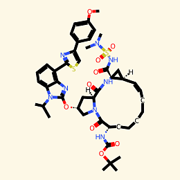 COc1ccc(-c2csc(-c3cccc4c3nc(O[C@@H]3C[C@H]5C(=O)N[C@]6(C(=O)NS(=O)(=O)N(C)C)C[C@H]6/C=C\CCCCC[C@H](NC(=O)OC(C)(C)C)C(=O)N5C3)n4C(C)C)n2)cc1